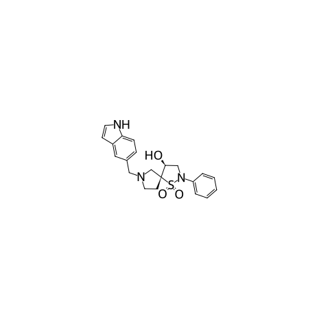 O=S1(=O)N(c2ccccc2)C[C@H](O)[C@]12CCN(Cc1ccc3[nH]ccc3c1)C2